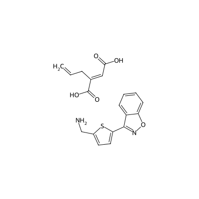 C=CC/C(=C\C(=O)O)C(=O)O.NCc1ccc(-c2noc3ccccc23)s1